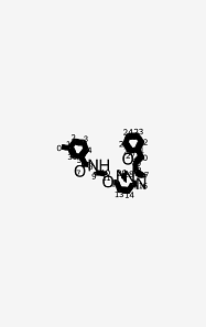 Cc1cccc(C(=O)NCCOc2ccc3ncc(-c4cc5ccccc5o4)n3n2)c1